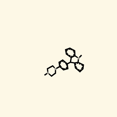 CN1CCN(c2ccc(C3c4ccccc4N(C)c4ccccc43)cc2)CC1